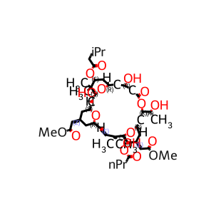 CCCC(=O)O[C@H]1/C(=C/C(=O)OC)C[C@@H]2C[C@H]([C@@H](C)O)OC(=O)C[C@H](O)C[C@@H]3C[C@H](OC(=O)CC(C)C)C(C)(C)[C@](O)(C[C@@H]4C/C(=C/C(=O)OC)C[C@H](/C=C/C(C)(C)[C@]1(O)O2)O4)O3